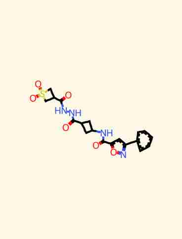 O=C(NC1CC(C(=O)NNC(=O)C2CS(=O)(=O)C2)C1)c1cc(-c2ccccc2)no1